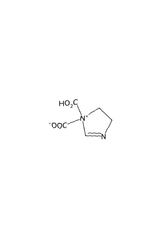 O=C([O-])[N+]1(C(=O)O)C=NCC1